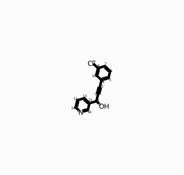 OC(C#Cc1cccc(Cl)c1)c1cccnc1